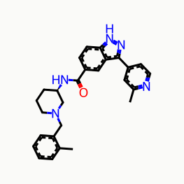 Cc1cc(-c2n[nH]c3ccc(C(=O)N[C@@H]4CCCN(Cc5ccccc5C)C4)cc23)ccn1